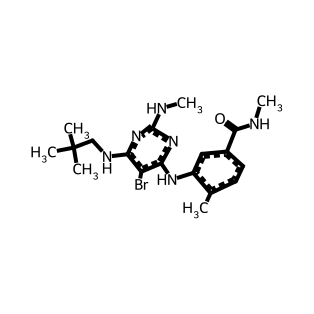 CNC(=O)c1ccc(C)c(Nc2nc(NC)nc(NCC(C)(C)C)c2Br)c1